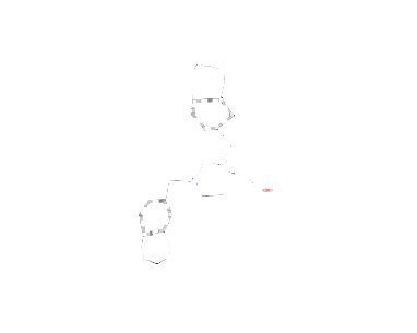 O=[C]CN1CCN(Cc2ccc3c(c2)OCO3)CC1Cc1ccc2c(c1)OCO2